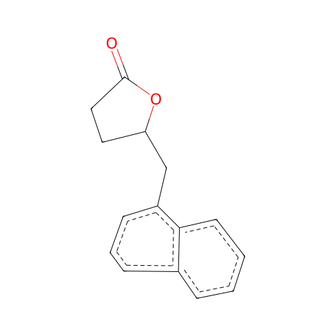 O=C1CCC(Cc2cccc3ccccc23)O1